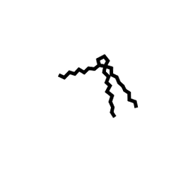 CCCCCCCCCCC1(CCCCCCCCCC)CCCC1CCCCCCCC